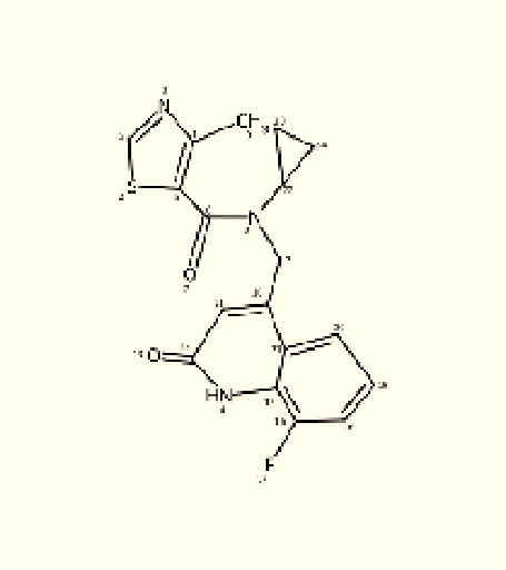 Cc1ncsc1C(=O)N(Cc1cc(=O)[nH]c2c(F)cccc12)C1CC1